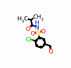 CC(C)C(=O)NS(=O)(=O)c1cc(C=O)ccc1Cl